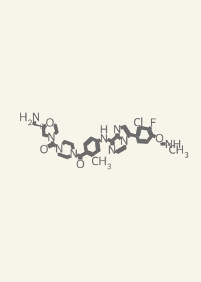 CNCOc1ccc(-c2cnc3c(Nc4ccc(C(=O)N5CCN(C(=O)N6CCO[C@H](CN)C6)CC5)c(C)c4)nccn23)c(Cl)c1F